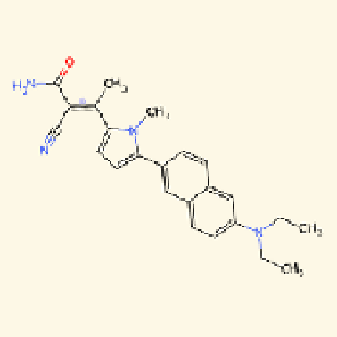 CCN(CC)c1ccc2cc(-c3ccc(/C(C)=C(\C#N)C(N)=O)n3C)ccc2c1